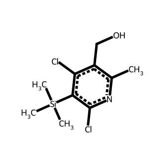 Cc1nc(Cl)c([Si](C)(C)C)c(Cl)c1CO